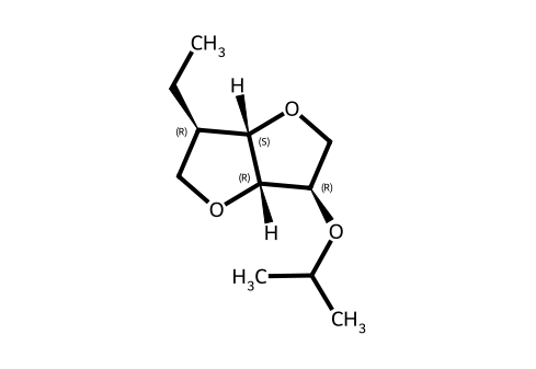 CC[C@@H]1CO[C@@H]2[C@H]1OC[C@H]2OC(C)C